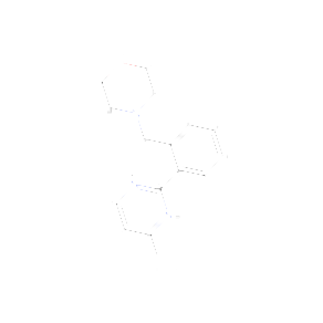 O=C(O)c1ccnc(-c2ccccc2CN2CCOCC2)n1